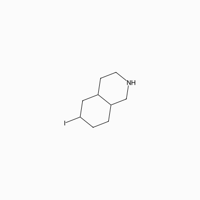 IC1CCC2CNCCC2C1